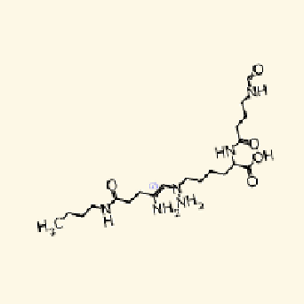 CCCCNC(=O)CC/C(N)=C/N(N)CCCCC(NC(=O)CCCNC=O)C(=O)O